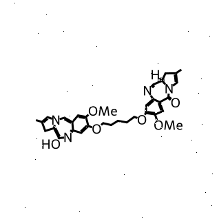 COc1cc2c(cc1OCCCCCOc1cc3c(cc1OC)=CN1C=C(C)CC1=C(O)N=3)N=C[C@@H]1CC(C)=CN1C2=O